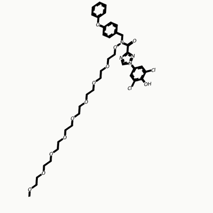 COCCOCCOCCOCCOCCOCCOCCOCCON(Cc1ccc(Oc2ccccc2)cc1)C(=O)c1ncn(-c2cc(Cl)c(O)c(Cl)c2)n1